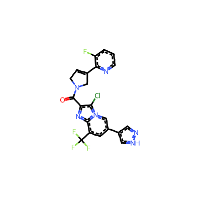 O=C(c1nc2c(C(F)(F)F)cc(-c3cn[nH]c3)cn2c1Cl)N1CC=C(c2ncccc2F)C1